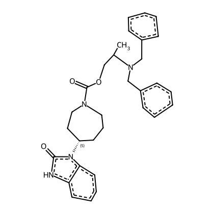 CC(COC(=O)N1CCC[C@H](n2c(=O)[nH]c3ccccc32)CC1)N(Cc1ccccc1)Cc1ccccc1